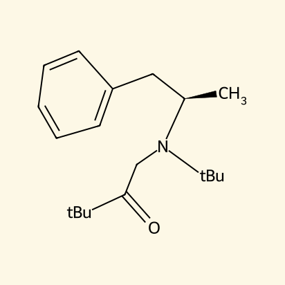 C[C@H](Cc1ccccc1)N(CC(=O)C(C)(C)C)C(C)(C)C